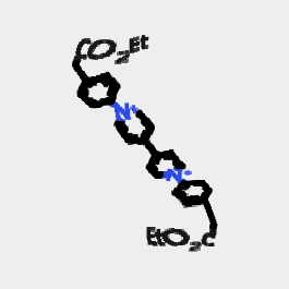 CCOC(=O)Cc1ccc(-[n+]2ccc(-c3cc[n+](-c4ccc(CC(=O)OCC)cc4)cc3)cc2)cc1